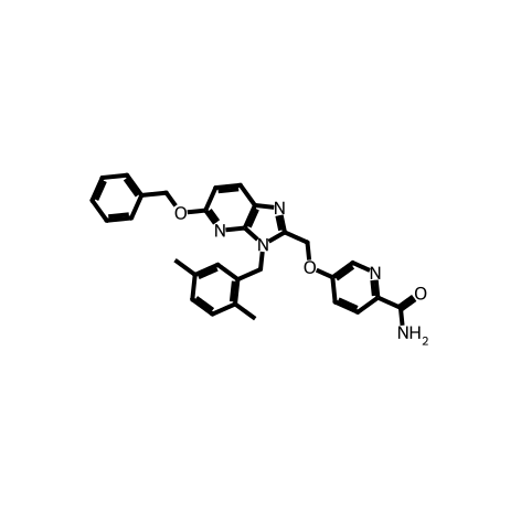 Cc1ccc(C)c(Cn2c(COc3ccc(C(N)=O)nc3)nc3ccc(OCc4ccccc4)nc32)c1